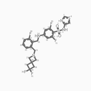 O=S(=O)(Nc1cscn1)c1c(F)cc(NCc2c(F)cccc2CN2CC3(C2)CC(F)(F)C3)cc1F